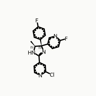 C[C@@H]1NC(c2ccnc(Cl)c2)=N[C@@]1(c1ccc(F)cc1)c1ccc(F)nc1